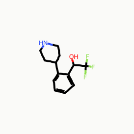 OC(c1ccccc1C1CCNCC1)C(F)(F)F